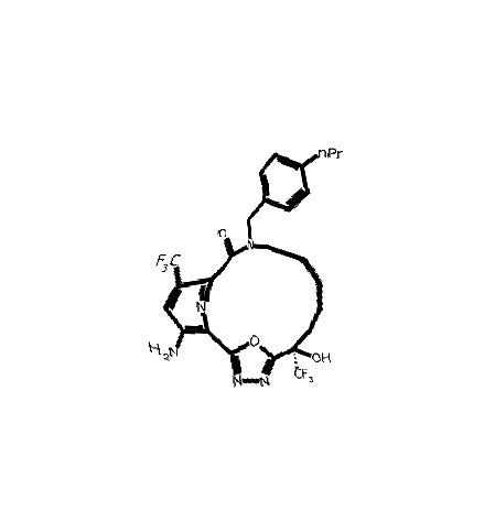 CCCc1ccc(CN2CCCCC[C@](O)(C(F)(F)F)c3nnc(o3)-c3nc(c(C(F)(F)F)cc3N)C2=O)cc1